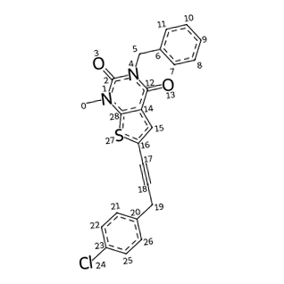 Cn1c(=O)n(Cc2ccccc2)c(=O)c2cc(C#CCc3ccc(Cl)cc3)sc21